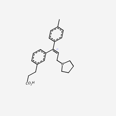 Cc1ccc(/C(=C/CN2CCCC2)c2cccc(CCC(=O)O)c2)cc1